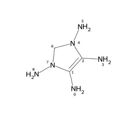 NC1=C(N)N(N)CN1N